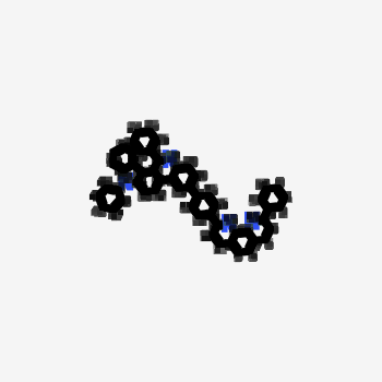 c1ccc(-c2ccc3ccc4ccc(-c5ccc(-c6ccc7nc(-c8ccccc8)c8c(ccc9c8c8ccccc8n9-c8ccccc8)c7c6)cc5)nc4c3n2)cc1